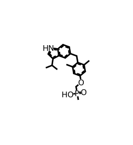 Cc1cc(OCP(C)(=O)O)cc(C)c1Cc1ccc2[nH]cc(C(C)C)c2c1